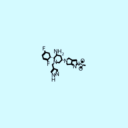 CS(=O)(=O)n1cc2c(n1)CN([C@H]1CC(N)[C@@H](C3CC(F)=CC=C3F)N(Cc3cn[nH]c3)C1)C2